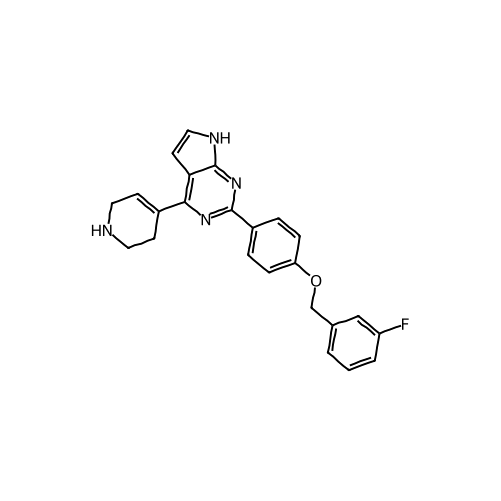 Fc1cccc(COc2ccc(-c3nc(C4=CCNCC4)c4cc[nH]c4n3)cc2)c1